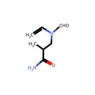 C=CN(C=O)CC(C)C(N)=O